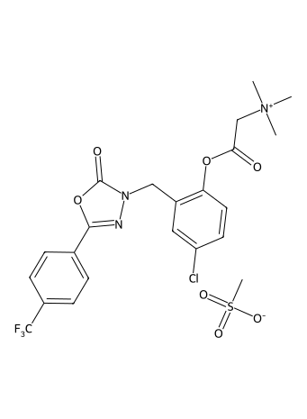 CS(=O)(=O)[O-].C[N+](C)(C)CC(=O)Oc1ccc(Cl)cc1Cn1nc(-c2ccc(C(F)(F)F)cc2)oc1=O